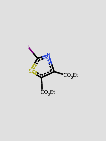 CCOC(=O)c1nc(I)sc1C(=O)OCC